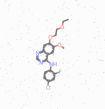 CCOCCOc1cc2ncnc(Nc3ccc(Cl)cc3F)c2cc1OC